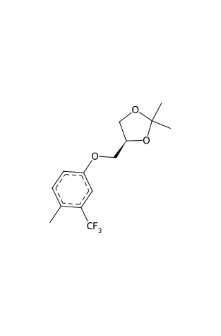 Cc1ccc(OC[C@H]2COC(C)(C)O2)cc1C(F)(F)F